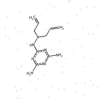 C=CCN(CC=C)Nc1nc(N)nc(N)n1